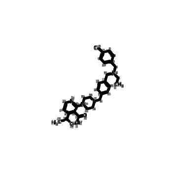 CCN(Cc1ccc(Cl)cc1)Cc1ccc(CN2CCN(c3nccc(C(C)C)c3C(=O)O)CC2)cc1